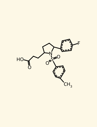 Cc1ccc(S(=O)(=O)N2C(CCC(=O)O)CCC2c2ccc(F)cc2)cc1